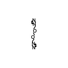 c1cn(CCOCCOCCn2ccnc2)cn1